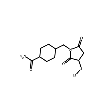 CCSC1CC(=O)N(CC2CCC(C(N)=O)CC2)C1=O